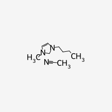 CC#N.CCCCN1C=CN(C)C1